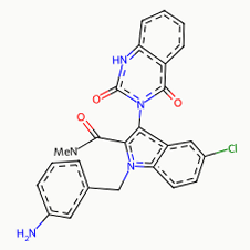 CNC(=O)c1c(-n2c(=O)[nH]c3ccccc3c2=O)c2cc(Cl)ccc2n1Cc1cccc(N)c1